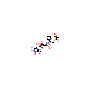 CC(C)(CO)C(=O)SCCOP(=O)(NCc1ccccc1)OCC1OC(n2cnc3c(=O)[nH]c(N)cc32)C(C)(O)C1O